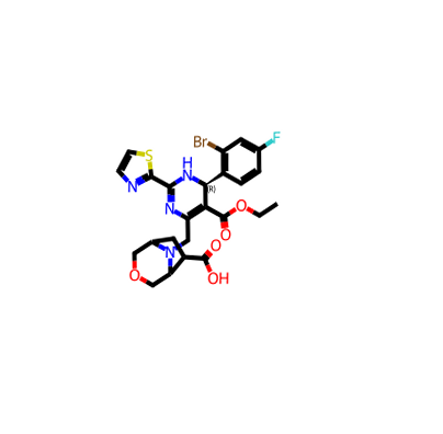 CCOC(=O)C1=C(CN2C3COCC2C(C(=O)O)C3)N=C(c2nccs2)N[C@H]1c1ccc(F)cc1Br